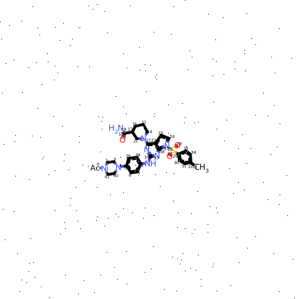 CC(=O)N1CCN(c2ccc(Nc3nc(N4CCCC(C(N)=O)C4)c4ccn(S(=O)(=O)c5ccc(C)cc5)c4n3)cc2)CC1